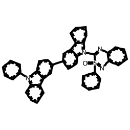 O=S1(c2ccccc2)=Nc2ccccc2N=C1n1c2ccccc2c2cc(-c3ccc4c(c3)c3ccccc3n4-c3ccccc3)ccc21